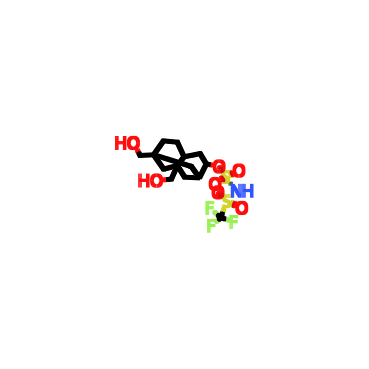 O=S(=O)(NS(=O)(=O)C(F)(F)F)OC1CC2CCC3(CO)CC1CC2(CO)C3